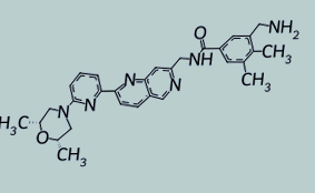 Cc1cc(C(=O)NCc2cc3nc(-c4cccc(N5C[C@@H](C)O[C@@H](C)C5)n4)ccc3cn2)cc(CN)c1C